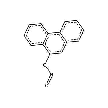 O=NOc1cc2ccccc2c2ccccc12